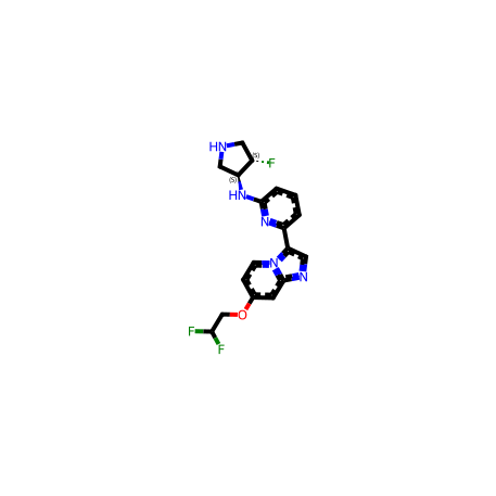 FC(F)COc1ccn2c(-c3cccc(N[C@H]4CNC[C@@H]4F)n3)cnc2c1